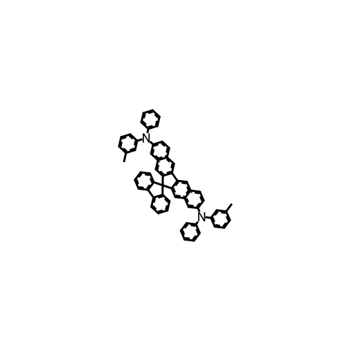 Cc1cccc(N(c2ccccc2)c2ccc3cc4c(cc3c2)C2(c3ccccc3-c3ccccc32)c2cc3cc(N(c5ccccc5)c5cccc(C)c5)ccc3cc2-4)c1